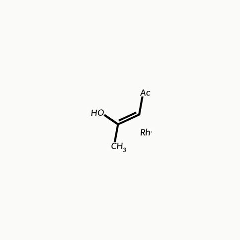 CC(=O)/C=C(/C)O.[Rh]